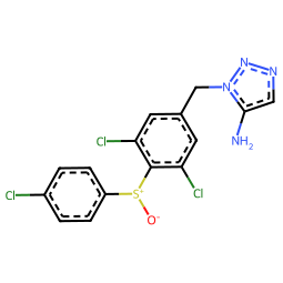 Nc1cnnn1Cc1cc(Cl)c([S+]([O-])c2ccc(Cl)cc2)c(Cl)c1